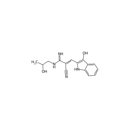 CC(O)CNC(=N)/C(C#N)=C/c1[nH]c2ccccc2c1O